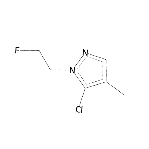 Cc1cnn(CCF)c1Cl